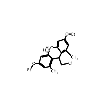 CCOc1cc(C)c(C(CCl)c2c(C)cc(OCC)cc2C)c(C)c1